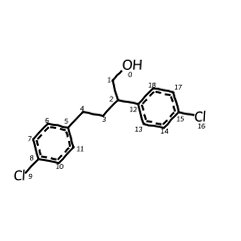 OCC(CCc1ccc(Cl)cc1)c1ccc(Cl)cc1